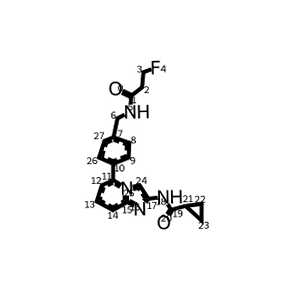 O=C(CCF)NCc1ccc(-c2cccc3nc(NC(=O)C4CC4)cn23)cc1